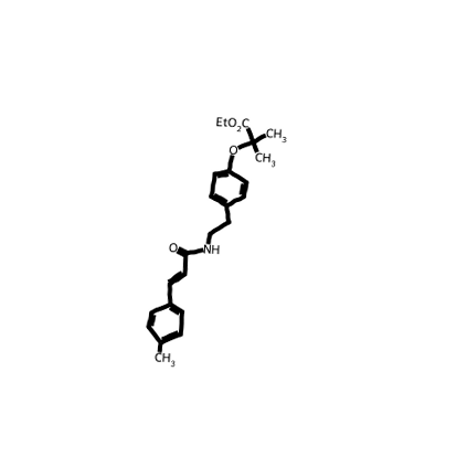 CCOC(=O)C(C)(C)Oc1ccc(CCNC(=O)C=Cc2ccc(C)cc2)cc1